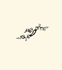 CCCN(CCC)CC(=O)Nc1nc2cc3nc(NC(=O)CN(CCC)CCC)sc3cc2s1.Cl.Cl